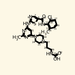 Cc1nc(Nc2ncc(C(=O)Nc3c(C)cccc3Cl)s2)cc(N2CCN(CCCNC(=O)O)CC2)n1